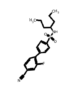 CCCC(CCC)NS(=O)(=O)c1ccc(-c2ccc(C#N)cc2F)cc1